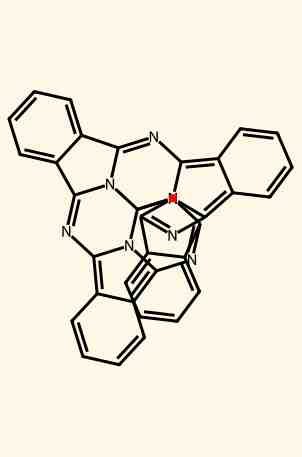 c1ccc2c3n4c(c2c1)N=c1c2ccccc2c2n1C41n4c(c5ccccc5c4N=c4c5ccccc5c(n41)=N3)N=2